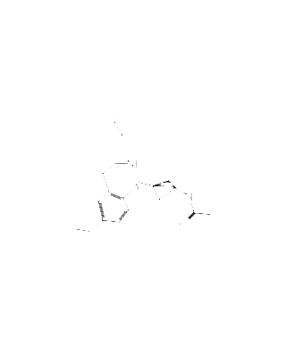 CCCC[C@H]1Cc2cc(OC)ccc2[C@@H](C23CC(NC(=O)O)(C2)C3)N1